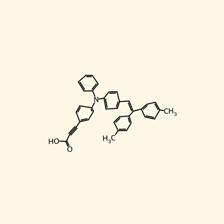 Cc1ccc(C(=Cc2ccc(N(c3ccccc3)c3ccc(C#CC(=O)O)cc3)cc2)c2ccc(C)cc2)cc1